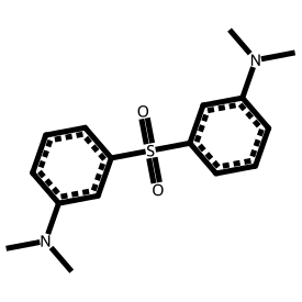 CN(C)c1cccc(S(=O)(=O)c2cccc(N(C)C)c2)c1